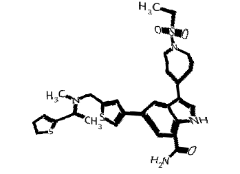 CCS(=O)(=O)N1CCC(c2c[nH]c3c(C(N)=O)cc(-c4csc(CN(C)C(C)C5=CCCS5)c4)cc23)CC1